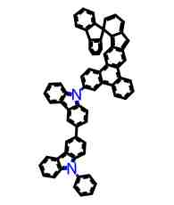 C1=CC2(C3=c4cc5c6ccc(-n7c8ccccc8c8cc(-c9ccc%10c(c9)c9ccccc9n%10-c9ccccc9)ccc87)cc6c6ccccc6c5cc4=CC3=C1)c1ccccc1-c1ccccc12